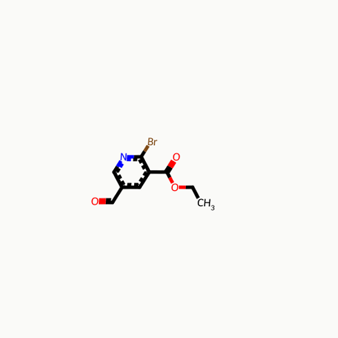 CCOC(=O)c1cc(C=O)cnc1Br